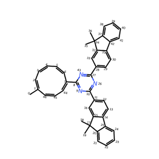 Cc1cccccc(-c2nc(-c3ccc4c(c3)C(C)(C)c3ccccc3-4)nc(-c3ccc4c(c3)C(C)(C)c3ccccc3-4)n2)ccc1